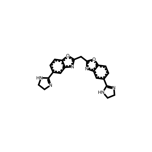 c1cc2oc(Cc3nc4cc(C5=NCCN5)ccc4o3)nc2cc1C1=NCCN1